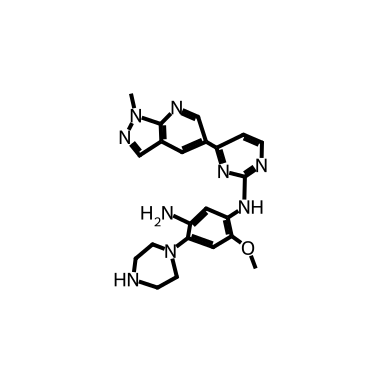 COc1cc(N2CCNCC2)c(N)cc1Nc1nccc(-c2cnc3c(cnn3C)c2)n1